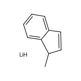 C[C]1C=Cc2ccccc21.[LiH]